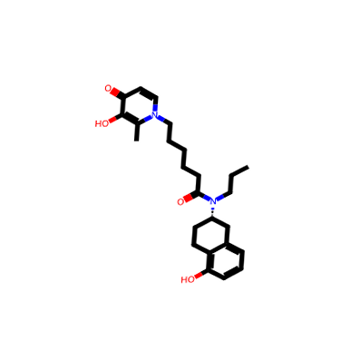 CCCN(C(=O)CCCCCn1ccc(=O)c(O)c1C)[C@H]1CCc2c(O)cccc2C1